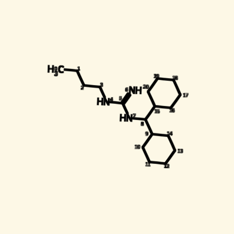 CCCCNC(=N)NC(C1CCCCC1)C1CCCCC1